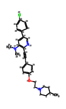 CC1CCN(CCOc2ccc(C#Cc3ncc(-c4ccc(Cl)cc4)cc3N(C)C)cc2)CC1